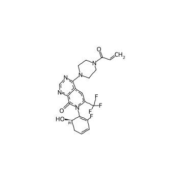 C=CC(=O)N1CCN(c2ncnc3c(=O)n(C4=C(F)C=CC[C@H]4O)c(C(F)(F)F)cc23)CC1